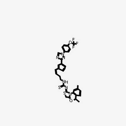 Cc1ccc(C(C)C)c(N2C(=O)CS/C2=N\C(=S)NCC/C=C\c2cccc(-c3ncn(-c4ccc(OC(F)(F)F)cc4)n3)c2)c1